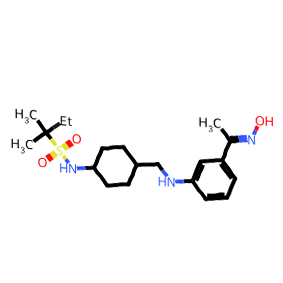 CCC(C)(C)S(=O)(=O)NC1CCC(CNc2cccc(/C(C)=N/O)c2)CC1